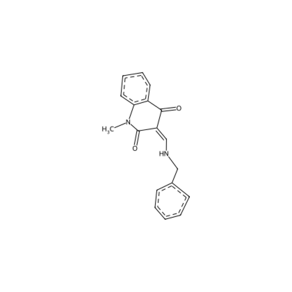 CN1C(=O)C(=CNCc2ccccc2)C(=O)c2ccccc21